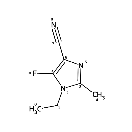 CCn1c(C)nc(C#N)c1F